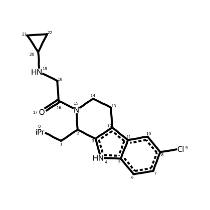 CC(C)CC1c2[nH]c3ccc(Cl)cc3c2CCN1C(=O)CNC1CC1